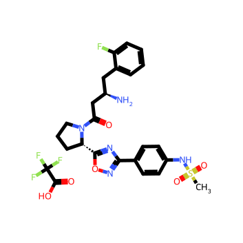 CS(=O)(=O)Nc1ccc(-c2noc([C@@H]3CCCN3C(=O)C[C@H](N)Cc3ccccc3F)n2)cc1.O=C(O)C(F)(F)F